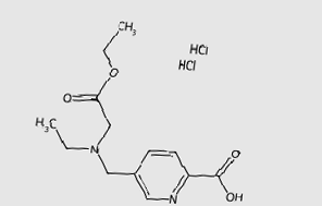 CCOC(=O)CN(CC)Cc1ccc(C(=O)O)nc1.Cl.Cl